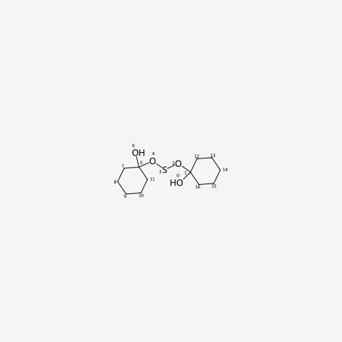 OC1(OSOC2(O)CCCCC2)CCCCC1